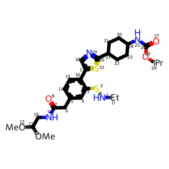 CCNSc1cc(CC(=O)NCC(OC)OC)ccc1-c1cnc(C2CCC(NC(=O)OC(C)C)CC2)s1